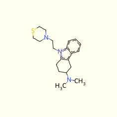 CN(C)C1CCc2c(c3ccccc3n2CCN2CCSCC2)C1